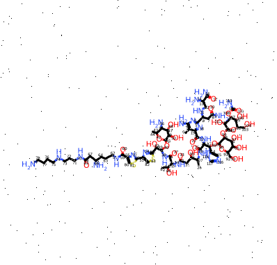 Cc1c(N)nc(C(CC(N)=O)NCC(N)C(N)=O)nc1C(=O)NC(C(=O)NC(C)C(O)CC(=O)NC(C(=O)NC(OC1OC(C)C(N)C(O)C1O)C(O)c1nc(-c2nc(C(=O)NCCCC(N)CC(=O)NCCCNCCCCN)cs2)cs1)C(C)O)C(OC1OC(CO)C(O)C(O)C1OC1OC(CO)C(O)C(OC(N)=O)C1O)c1cnc[nH]1